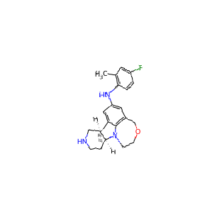 Cc1cc(F)ccc1Nc1cc2c3c(c1)[C@@H]1CNCC[C@@H]1N3CCOC2